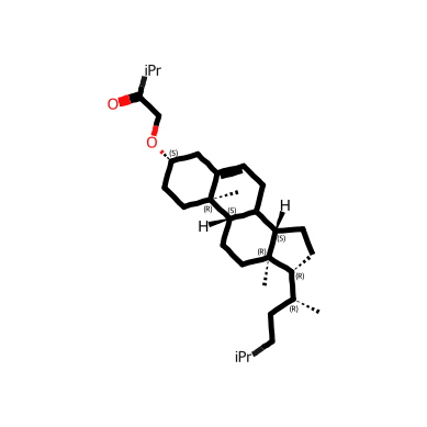 CC(C)CC[C@@H](C)[C@H]1CC[C@H]2C3CC=C4C[C@@H](OCC(=O)C(C)C)CC[C@]4(C)[C@H]3CC[C@]12C